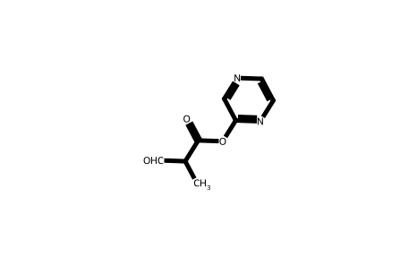 CC(C=O)C(=O)Oc1cnccn1